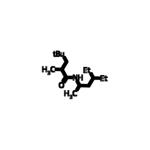 CCC(CC)CC(C)NC(=O)C(C)CC(C)(C)C